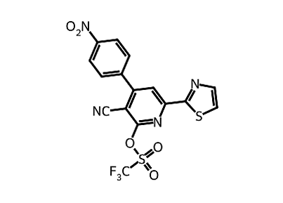 N#Cc1c(-c2ccc([N+](=O)[O-])cc2)cc(-c2nccs2)nc1OS(=O)(=O)C(F)(F)F